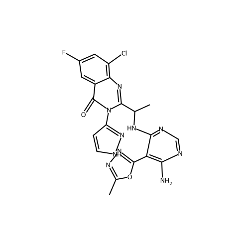 Cc1nnc(-c2c(N)ncnc2NC(C)c2nc3c(Cl)cc(F)cc3c(=O)n2-c2cc[nH]n2)o1